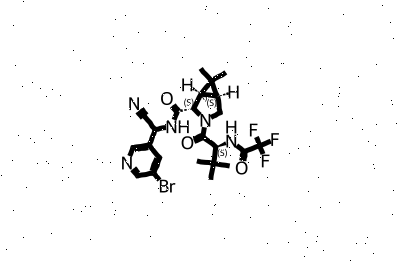 CC(C)(C)[C@H](NC(=O)C(F)(F)F)C(=O)N1C[C@H]2[C@@H]([C@H]1C(=O)NC(C#N)c1cncc(Br)c1)C2(C)C